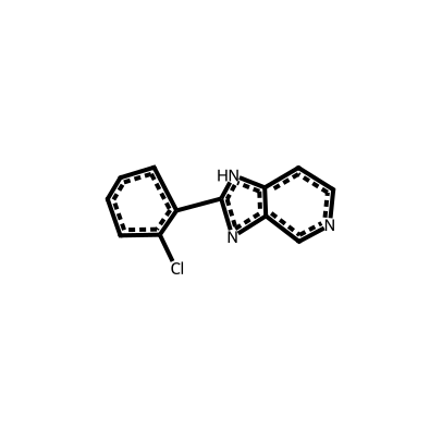 Clc1ccccc1-c1nc2cnccc2[nH]1